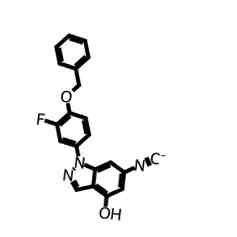 [C-]#[N+]c1cc(O)c2cnn(-c3ccc(OCc4ccccc4)c(F)c3)c2c1